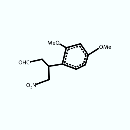 COc1ccc(C(CC=O)C[N+](=O)[O-])c(OC)c1